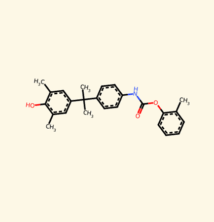 Cc1ccccc1OC(=O)Nc1ccc(C(C)(C)c2cc(C)c(O)c(C)c2)cc1